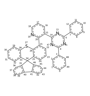 c1ccc(-c2nc(-c3ccccc3)nc(-c3cccnc3-c3cccc4c3Sc3ccccc3C43c4ccccc4-c4ccccc43)n2)cc1